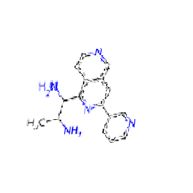 CC(N)C(N)c1nc(-c2cccnc2)cc2cnccc12